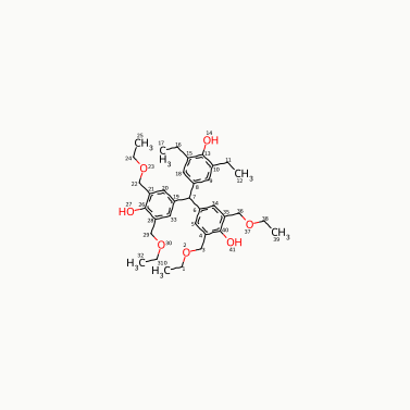 CCOCc1cc(C(c2cc(CC)c(O)c(CC)c2)c2cc(COCC)c(O)c(COCC)c2)cc(COCC)c1O